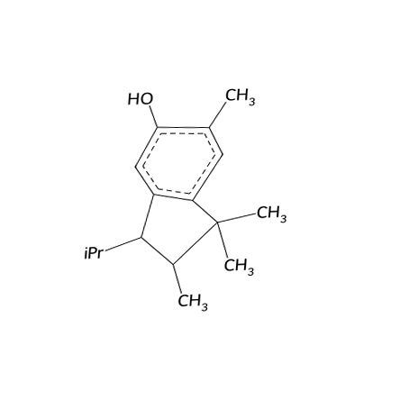 Cc1cc2c(cc1O)C(C(C)C)C(C)C2(C)C